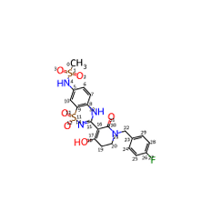 CS(=O)(=O)Nc1ccc2c(c1)S(=O)(=O)N=C(C1=C(O)CCN(Cc3ccc(F)cc3)C1=O)N2